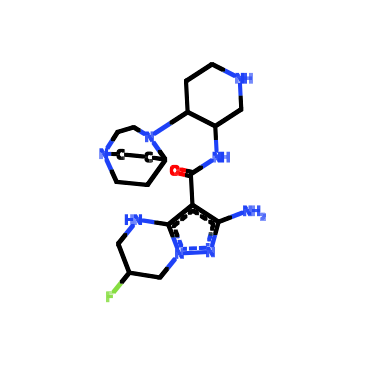 Nc1nn2c(c1C(=O)NC1CNCCC1N1CCN3CCC1CC3)NCC(F)C2